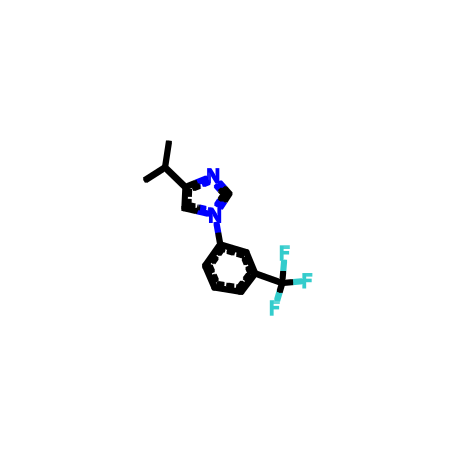 CC(C)c1cn(-c2cccc(C(F)(F)F)c2)cn1